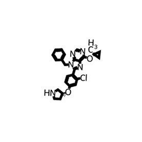 CC1(Oc2ncnc3c2nc(-c2ccc(O[C@H]4CCNC4)cc2Cl)n3Cc2ccccc2)CC1